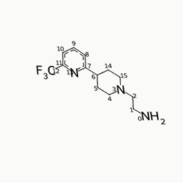 NCCN1CCC(c2cccc(C(F)(F)F)n2)CC1